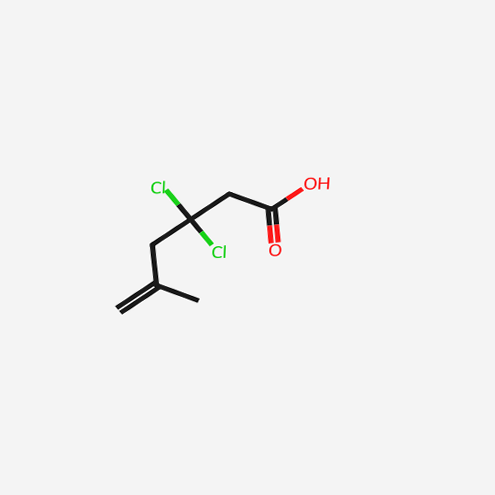 C=C(C)CC(Cl)(Cl)CC(=O)O